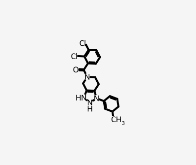 CC1C=C(N2NNC3=C2CCN(C(=O)c2cccc(Cl)c2Cl)C3)C=CC1